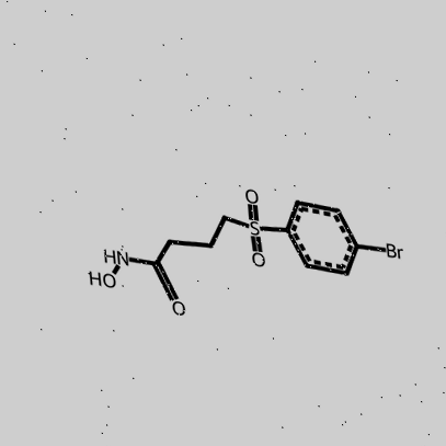 O=C(CCCS(=O)(=O)c1ccc(Br)cc1)NO